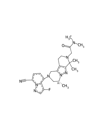 C[C@@H]1CN(c2ccc(C#N)n3ncc(F)c23)Cc2c3c(nn21)C(C)(C)N(CC(=O)N(C)C)CC3